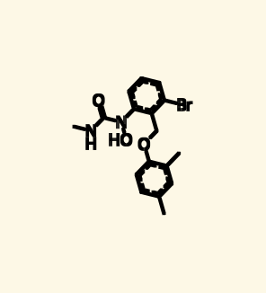 CNC(=O)N(O)c1cccc(Br)c1COc1ccc(C)cc1C